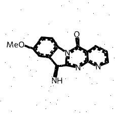 COc1ccc2c(c1)C(=N)c1nc3ncccc3c(=O)n1-2